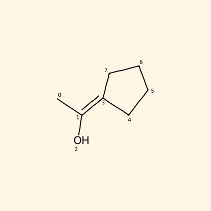 CC(O)=C1CCCC1